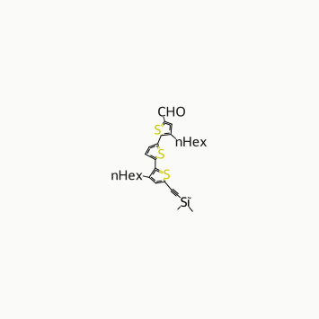 CCCCCCc1cc(C#C[Si](C)(C)C)sc1-c1ccc(-c2sc(C=O)cc2CCCCCC)s1